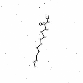 CCCCCCCCCCCC(=O)CCl